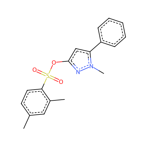 Cc1ccc(S(=O)(=O)Oc2cc(-c3ccccc3)n(C)n2)c(C)c1